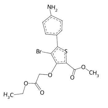 CCOC(=O)COc1c(C(=O)OC)sc(-c2ccc(N)cc2)c1Br